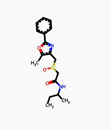 CCC(C)NC(=O)C[S+]([O-])Cc1nc(-c2ccccc2)oc1C